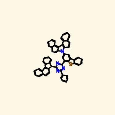 c1ccc(-c2nc(-c3cc(-n4c5ccc6ccccc6c5c5c6ccccc6ccc54)cc4c3sc3ccccc34)nc(C3c4ccccc4-c4c3ccc3ccccc43)n2)cc1